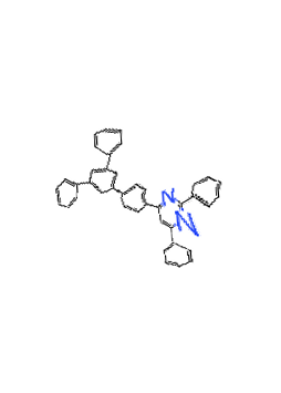 c1ccc(-c2cc(-c3ccccc3)cc(-c3ccc(-c4cc(-c5ccccc5)nc(-c5ccccc5)n4)cc3)c2)cc1